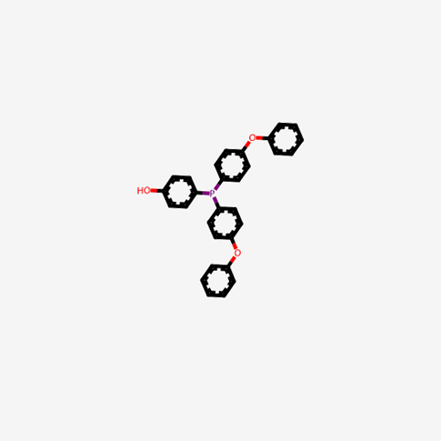 Oc1ccc(P(c2ccc(Oc3ccccc3)cc2)c2ccc(Oc3ccccc3)cc2)cc1